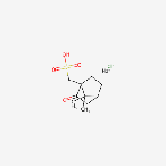 CC1(C)C2CCC1(CS(=O)(=O)O)C(=O)C2.[Cl-].[Na+]